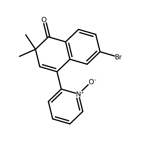 CC1(C)C=C(c2cccc[n+]2[O-])c2cc(Br)ccc2C1=O